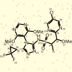 COc1ncnc(OC)c1-n1c(NS(=O)(=O)C(C)C(OC)c2ncc(Cl)cn2)nnc1[C@H]1[C@@H](C)C1(F)F